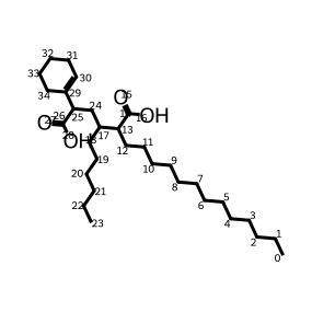 CCCCCCCCCCCCCC(C(=O)O)C(CCCCCC)CC(C(=O)O)C1=CCCCC1